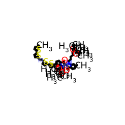 Cc1ccc2c(c1)N(CCCCC[Si](C)(O[SiH](C)C)O[Si](C)(C)C)/C(=C1\C(=O)c3ccc(-c4ccc(-c5ccc(/C=C/c6ccc(-c7ccc(C)s7)s6)s5)s4)cc3N1C[Si](C)(O[Si](C)(C)C)O[Si](C)(C)C)C2=O